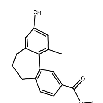 COC(=O)c1ccc2c(c1)-c1c(C)cc(O)cc1CCC2